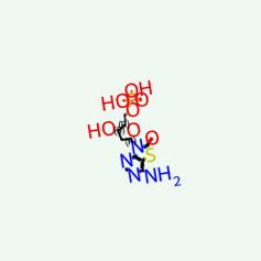 Nc1ncnc2c1sc(=O)n2[C@H]1C[C@H](O)[C@@H](COP(=O)(O)O)O1